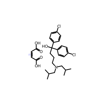 CC(C)CN(CCCC(O)(c1ccc(Cl)cc1)c1ccc(Cl)cc1)CC(C)C.O=C(O)/C=C\C(=O)O